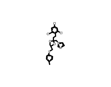 Cc1ccc(SCC2COC(CCc3c(Cl)cc(Cl)cc3Cl)(Cn3ccnc3)O2)cc1